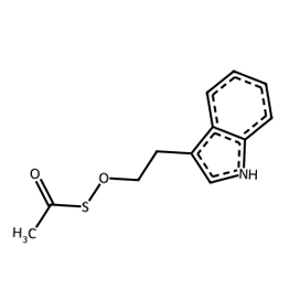 CC(=O)SOCCc1c[nH]c2ccccc12